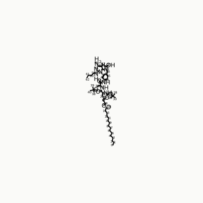 CCCCCCCCCCCCCCCC(=O)OCCSCC(NC(=O)OC(C)(C)C)C(=O)NC(COC(C)(C)C)C(=O)Nc1ccc(Cn2c(O)nc3c(N)nc(NCCCC)nc32)cc1